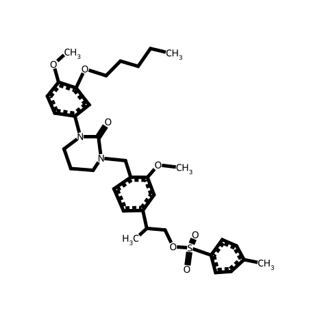 CCCCCOc1cc(N2CCCN(Cc3ccc(C(C)COS(=O)(=O)c4ccc(C)cc4)cc3OC)C2=O)ccc1OC